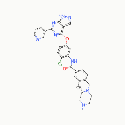 CN1CCN(Cc2ccc(C(=O)Nc3cc(Oc4nc(-c5cccnc5)nc5[nH]ncc45)ccc3Cl)cc2C(F)(F)F)CC1